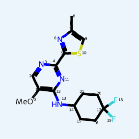 COc1cnc(-c2nc(C)cs2)nc1NC1CCC(F)(F)CC1